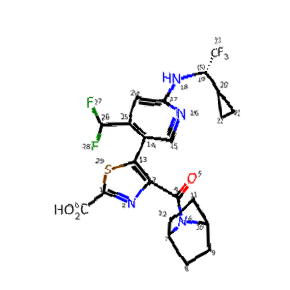 O=C(O)c1nc(C(=O)N2C3CCC2CC3)c(-c2cnc(N[C@@H](C3CC3)C(F)(F)F)cc2C(F)F)s1